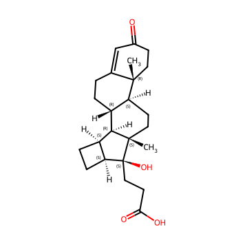 C[C@]12CCC(=O)C=C1CC[C@H]1[C@@H]3[C@@H]4CC[C@@H]4[C@@](O)(CCC(=O)O)[C@@]3(C)CC[C@@H]12